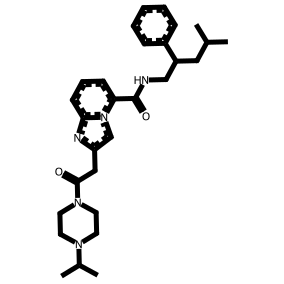 CC(C)CC(CNC(=O)c1cccc2nc(CC(=O)N3CCN(C(C)C)CC3)cn12)c1ccccc1